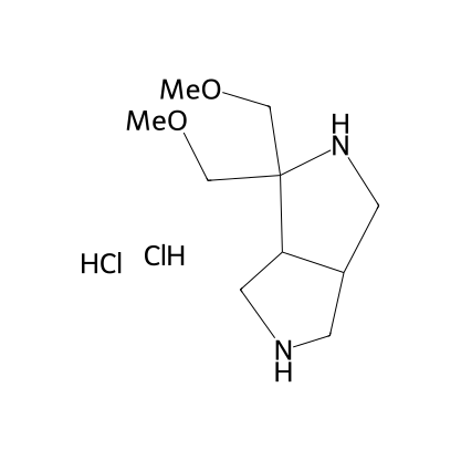 COCC1(COC)NCC2CNCC21.Cl.Cl